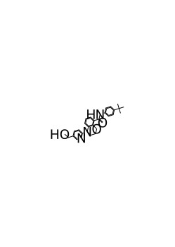 CC(C)(C)c1ccc(NC(=O)c2cccc3c2OCCN3c2ccc(CO)cn2)cc1